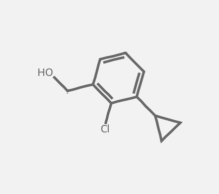 O[CH]c1cccc(C2CC2)c1Cl